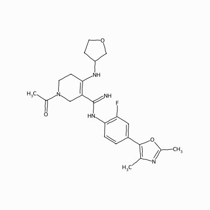 CC(=O)N1CCC(NC2CCOC2)=C(C(=N)Nc2ccc(-c3oc(C)nc3C)cc2F)C1